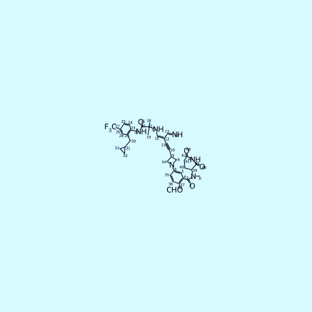 CN(C(=O)c1cc(N2CC(C#C/C(C=N)=C/NC(C)(C)C(=O)Nc3ccc(C(F)(F)F)cc3CC3CC3)C2)ccc1C=O)C1CCC(=O)NC1=O